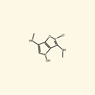 CNc1cn(O)c2c(NC)[n+]([O-])oc12